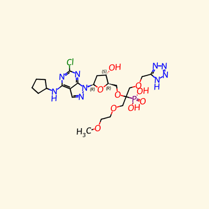 COCCOCC(COCc1nnn[nH]1)(OC[C@H]1O[C@@H](n2ncc3c(NC4CCCC4)nc(Cl)nc32)C[C@@H]1O)P(=O)(O)O